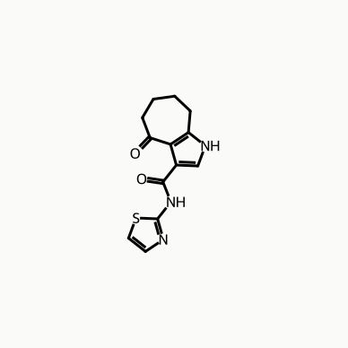 O=C(Nc1nccs1)c1c[nH]c2c1C(=O)CCCC2